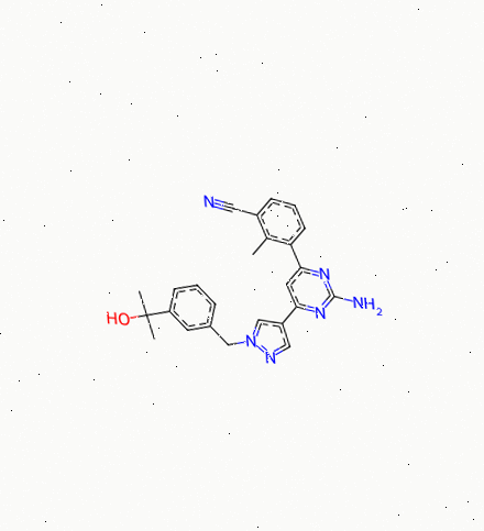 Cc1c(C#N)cccc1-c1cc(-c2cnn(Cc3cccc(C(C)(C)O)c3)c2)nc(N)n1